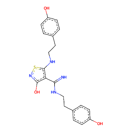 N=C(NCCc1ccc(O)cc1)c1c(O)nsc1NCCc1ccc(O)cc1